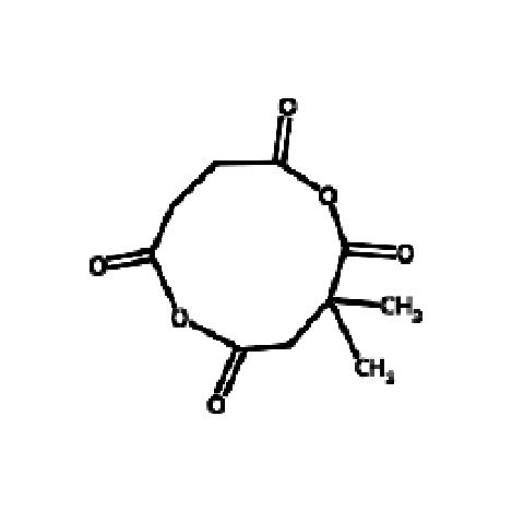 CC1(C)CC(=O)OC(=O)CCC(=O)OC1=O